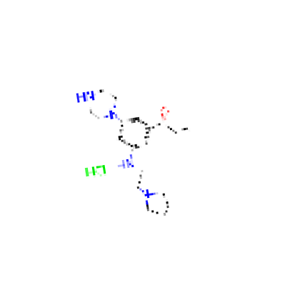 CCCCC(=O)c1cc(NCCN2CCCC2)c(C)c(N2CCNCC2)c1.Cl